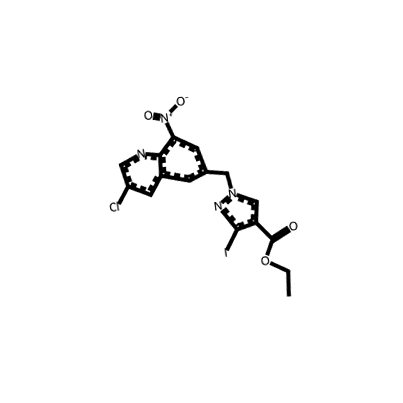 CCOC(=O)c1cn(Cc2cc([N+](=O)[O-])c3ncc(Cl)cc3c2)nc1I